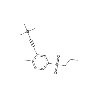 CCCS(=O)(=O)c1ccc(C)c(C#C[Si](C)(C)C)c1